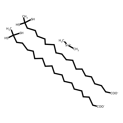 CC(S)(S)CCCCCCCCCCCCCCCCCC(=O)[O-].CC(S)(S)CCCCCCCCCCCCCCCCCC(=O)[O-].[CH3][Sn+2][CH3]